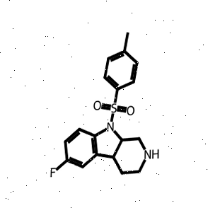 Cc1ccc(S(=O)(=O)N2c3ccc(F)cc3C3CCNCC32)cc1